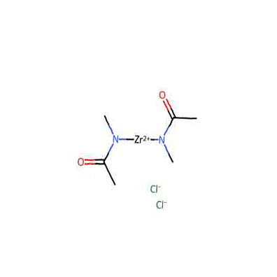 CC(=O)[N](C)[Zr+2][N](C)C(C)=O.[Cl-].[Cl-]